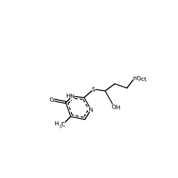 CCCCCCCCCCC(O)Sc1ncc(C)c(=O)[nH]1